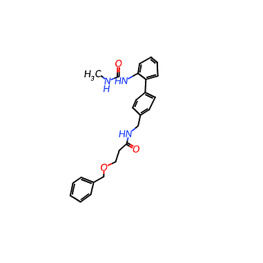 CNC(=O)Nc1ccccc1-c1ccc(CNC(=O)CCOCc2ccccc2)cc1